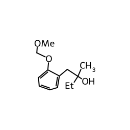 CCC(C)(O)Cc1ccccc1OCOC